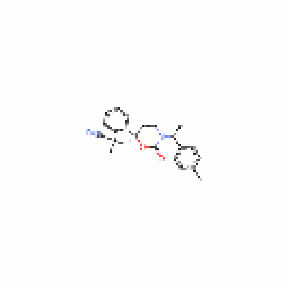 Cc1ccc([C@H](C)N2CC[C@](CC(C)(C)C#N)(c3ccccc3)OC2=O)cc1